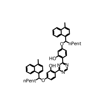 CCCCCC(Oc1ccc(-c2ncnc(-c3ccc(OC(CCCCC)c4ccc(C)c5ccccc45)cc3O)n2)c(O)c1)c1ccc(C)c2ccccc12